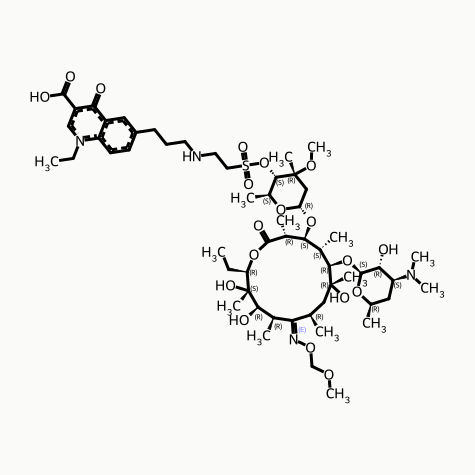 CC[C@H]1OC(=O)[C@H](C)[C@@H](O[C@H]2C[C@@](C)(OC)[C@@H](OS(=O)(=O)CCNCCCc3ccc4c(c3)c(=O)c(C(=O)O)cn4CC)[C@H](C)O2)[C@H](C)[C@@H](O[C@@H]2O[C@H](C)C[C@H](N(C)C)[C@H]2O)[C@](C)(O)C[C@@H](C)/C(=N\OCOC)[C@@H](C)[C@@H](O)[C@]1(C)O